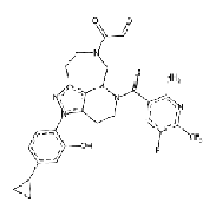 C=CC(=O)N1CCc2nn(-c3ccc(C4CC4)cc3O)c3c2C(C1)N(C(=O)c1cc(F)c(C(F)(F)F)nc1N)CC3